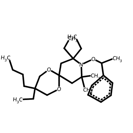 CCCCC1(CC)COC2(CC(C)(C)N(OC(C)c3ccccc3)C(CC)(CC)C2)OC1